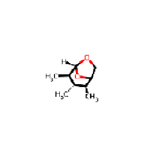 CC1[C@@H]2OCC(O2)[C@@H](C)[C@@H]1C